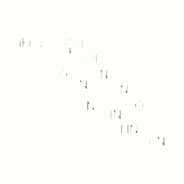 CC(C)OC[C@H]1O[C@@H](n2cnc3c(NC(=O)NCC#N)ncnc32)[C@H](O)[C@@H]1O